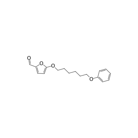 O=Cc1ccc(OCCCCCCOc2ccccc2)o1